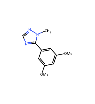 COc1cc(OC)cc(-c2ncnn2C)c1